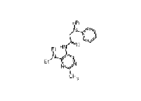 CCCN(CC(=O)Nc1cnc(C)nc1N(CC)CC)c1ccccc1